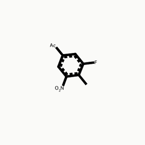 CC(=O)c1cc(F)c(C)c([N+](=O)[O-])c1